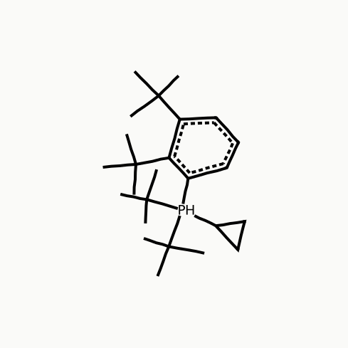 CC(C)(C)c1cccc([PH](C2CC2)(C(C)(C)C)C(C)(C)C)c1C(C)(C)C